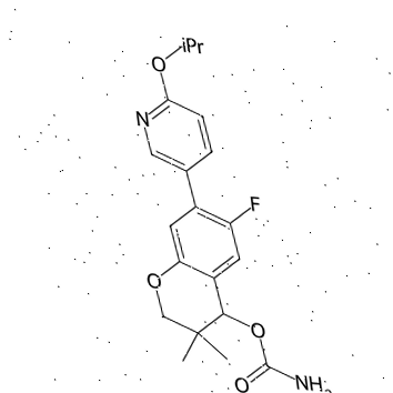 CC(C)Oc1ccc(-c2cc3c(cc2F)C(OC(N)=O)C(C)(C)CO3)cn1